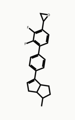 CC1CCC2C(c3ccc(-c4ccc(C5CO5)c(F)c4F)cc3)=CCC12